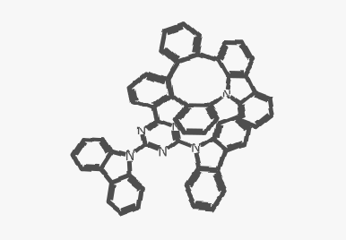 c1ccc2c(c1)c1cccc(-c3nc(-n4c5ccccc5c5ccccc54)nc(-n4c5ccccc5c5ccccc54)n3)c1c1ccccc1n1c3ccccc3c3cccc2c31